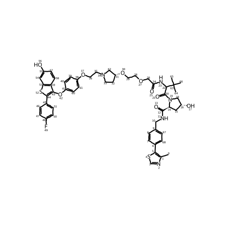 Cc1ncsc1-c1ccc(CNC(=O)[C@@H]2C[C@@H](O)CN2C(=O)C(NC(=O)COCCO[C@@H]2CCN(CCOc3ccc(Oc4c(-c5ccc(F)cc5)sc5cc(O)ccc45)cc3)C2)C(C)(C)C)cc1